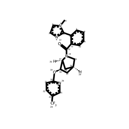 Cn1ccnc1-c1ccccc1C(=O)N1C[C@H]2C[C@@H](Oc3ccc(C(F)(F)F)cn3)[C@@H]1C2